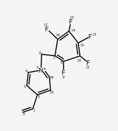 C=Cc1cc[n+](Cc2c(F)c(F)c(F)c(F)c2F)cc1